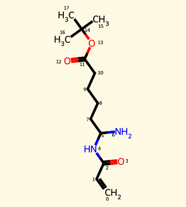 C=CC(=O)NC(N)CCCCC(=O)OC(C)(C)C